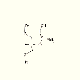 B[C@@H](CO)OC(F)(COC(C)C)COC(C)C